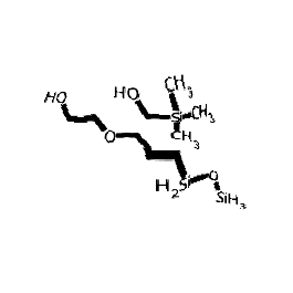 C[Si](C)(C)CO.OCCOCCC[SiH2]O[SiH3]